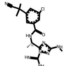 CNc1nc([C@H](C)NC(=O)c2cc(Cl)cc(C(C)(C)C#N)c2)n(C(=N)N)n1